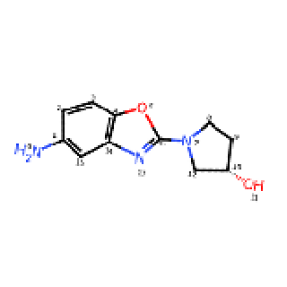 Nc1ccc2oc(N3CC[C@H](O)C3)nc2c1